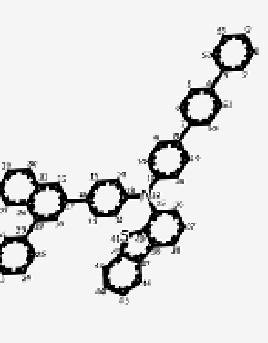 c1ccc(-c2ccc(-c3ccc(N(c4ccc(-c5cc(-c6ccccc6)c6ccccc6c5)cc4)c4cccc5c4sc4ccccc45)cc3)cc2)cc1